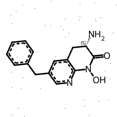 N[C@H]1Cc2cc(Cc3ccccc3)cnc2N(O)C1=O